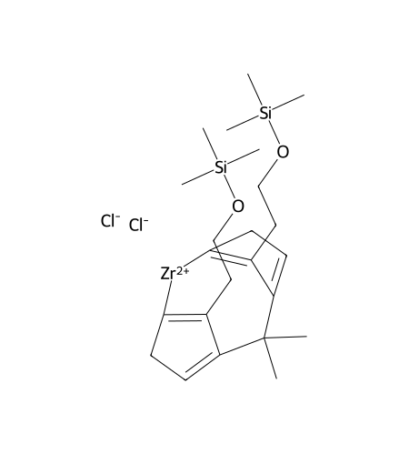 CC1(C)C2=CC[C](=C2CCO[Si](C)(C)C)[Zr+2][C]2=C(CCO[Si](C)(C)C)C1=CC2.[Cl-].[Cl-]